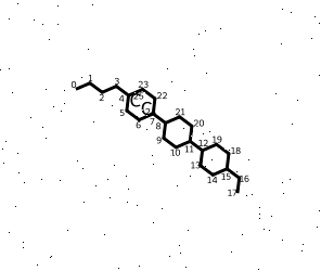 CCCCC12CCC(C3CCC(C4CCC(CC)CC4)CC3)(CC1)CC2